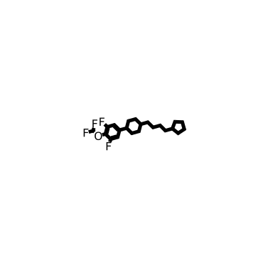 Fc1cc(C2CCC(CCCCC3CCCC3)CC2)cc(F)c1OC(F)F